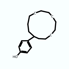 Oc1ccc(C2CCCCCCCCCCCC2)cc1